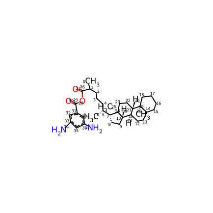 CC(CCC[C@@H](C)[C@H]1CC[C@H]2[C@@H]3CCC4CCCC[C@]4(C)[C@H]3CC[C@]12C)C(=O)OC(=O)c1cc(N)cc(N)c1